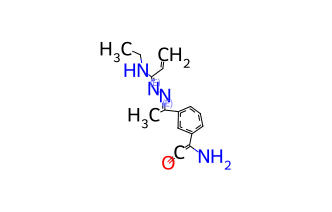 C=C/C(=N\N=C(/C)c1cccc(C(N)=C=O)c1)NCC